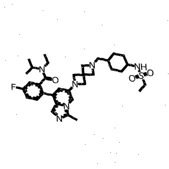 CCN(C(=O)c1cc(F)ccc1-c1cc(N2CC3(CN(CC4CCC(NS(=O)(=O)CC)CC4)C3)C2)cn2c(C)ncc12)C(C)C